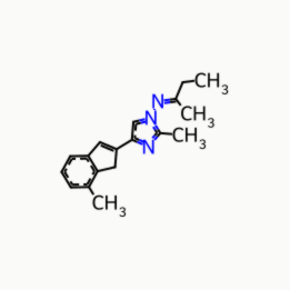 CC/C(C)=N/n1cc(C2=Cc3cccc(C)c3C2)nc1C